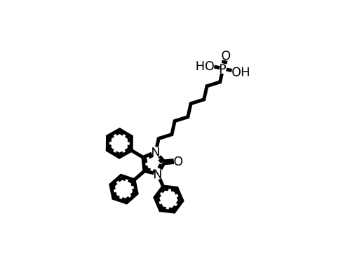 O=c1n(CCCCCCCCP(=O)(O)O)c(-c2ccccc2)c(-c2ccccc2)n1-c1ccccc1